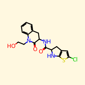 O=C(NC1Cc2ccccc2N(CCO)C1=O)C1Cc2cc(Cl)sc2N1